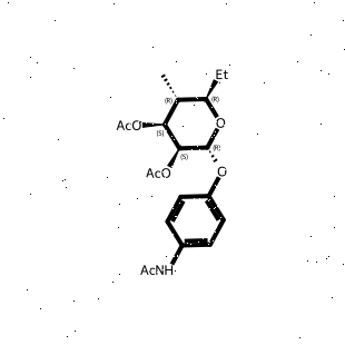 CC[C@H]1O[C@H](Oc2ccc(NC(C)=O)cc2)[C@@H](OC(C)=O)[C@@H](OC(C)=O)[C@@H]1C